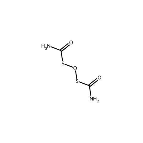 NC(=O)SOSC(N)=O